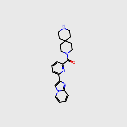 O=C(c1cccc(-c2cn3ccccc3n2)n1)N1CCC2(CCNCC2)CC1